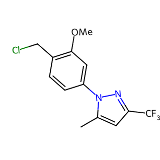 COc1cc(-n2nc(C(F)(F)F)cc2C)ccc1CCl